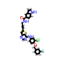 O=C(NCC#Cc1cc2ncnc(Nc3ccc(OCc4cccc(F)c4)c(Cl)c3)c2s1)c1ccc2[nH]ccc2c1